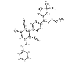 COCCN(C(=O)OC(C)(C)C)c1ccc(-c2c(C#N)c(N)nc(SCc3cccnc3)c2C#N)cc1